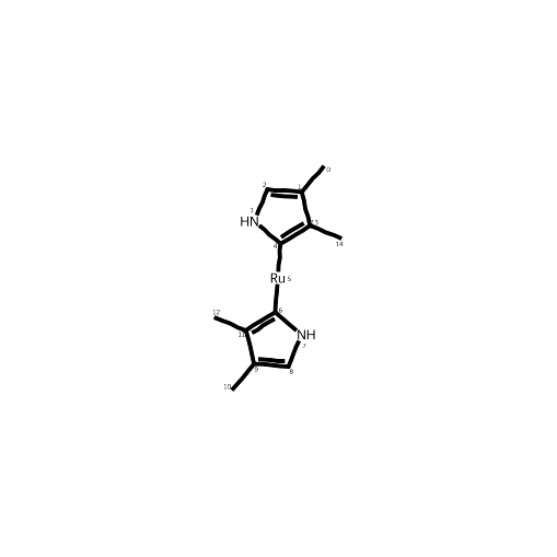 Cc1c[nH][c]([Ru][c]2[nH]cc(C)c2C)c1C